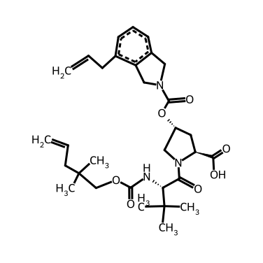 C=CCc1cccc2c1CN(C(=O)O[C@@H]1C[C@@H](C(=O)O)N(C(=O)[C@@H](NC(=O)OCC(C)(C)CC=C)C(C)(C)C)C1)C2